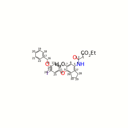 CCOC(=O)CC(=O)Nc1cc(C)c(Oc2ccc(OCc3ccccc3)c(I)c2)c2c1CCC2